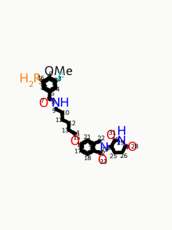 COc1c(F)cc(C(=O)NCCCCCCOc2ccc3c(c2)CN(C2CCC(=O)NC2=O)C3=O)cc1P